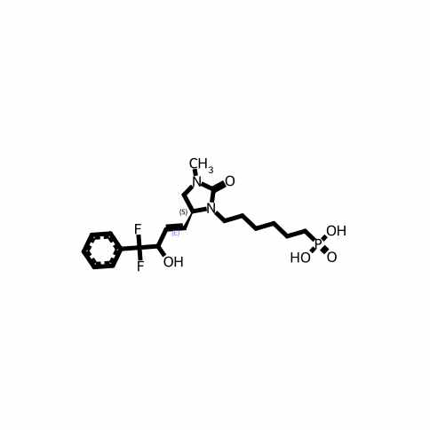 CN1C[C@H](/C=C/C(O)C(F)(F)c2ccccc2)N(CCCCCCP(=O)(O)O)C1=O